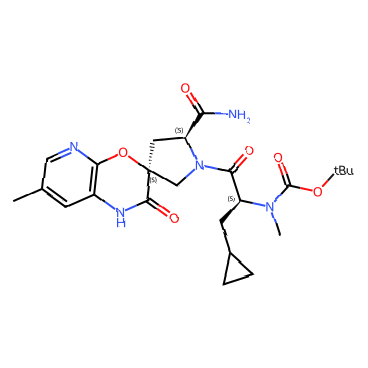 Cc1cnc2c(c1)NC(=O)[C@@]1(C[C@@H](C(N)=O)N(C(=O)[C@H](CC3CC3)N(C)C(=O)OC(C)(C)C)C1)O2